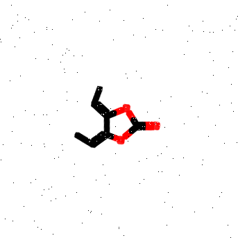 CC=c1oc(=O)oc1=CC